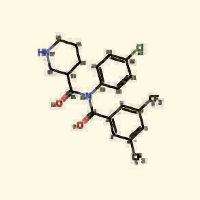 O=C(c1cc(C(F)(F)F)cc(C(F)(F)F)c1)N(C(=O)C1CCCNC1)c1ccc(Cl)cc1